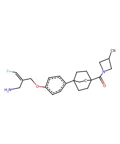 N#CC1CN(C(=O)C23CCC(c4ccc(OCC(=CF)CN)cc4)(CC2)CC3)C1